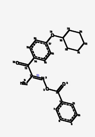 CCCC/C(=N\OC(=O)c1ccccc1)C(=O)c1ccc(OC2CCCCC2)cc1